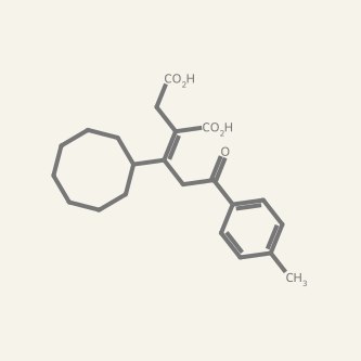 Cc1ccc(C(=O)CC(=C(CC(=O)O)C(=O)O)C2CCCCCCC2)cc1